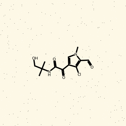 Cn1cc(C(=O)C(=O)NC(C)(C)CO)c(Cl)c1C=O